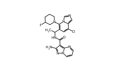 CC(NC(=O)c1c(N)nn2cccnc12)c1cc(Cl)c2cncn2c1N1CCCC(F)C1